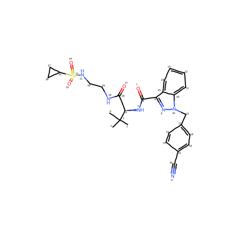 CC(C)(C)[C@H](NC(=O)c1nn(Cc2ccc(C#N)cc2)c2ccccc12)C(=O)NCCNS(=O)(=O)C1CC1